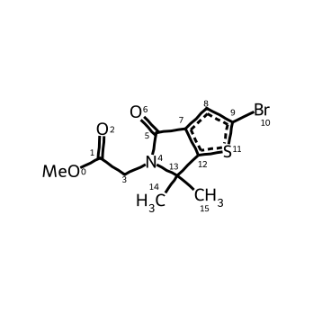 COC(=O)CN1C(=O)c2cc(Br)sc2C1(C)C